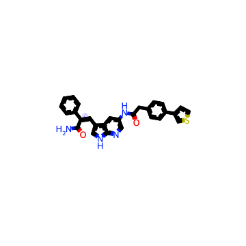 NC(=O)/C(=C\c1c[nH]c2ncc(NC(=O)Cc3ccc(-c4ccsc4)cc3)cc12)c1ccccc1